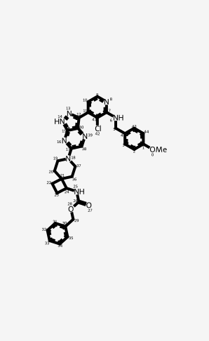 COc1ccc(CNc2nccc(-c3n[nH]c4nc(N5CCC6(CCC6NC(=O)OCc6ccccc6)CC5)cnc34)c2Cl)cc1